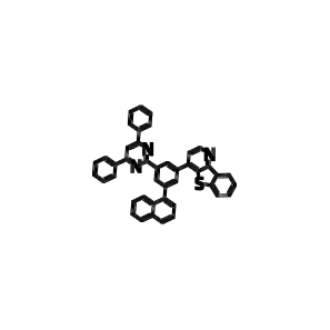 c1ccc(-c2cc(-c3ccccc3)nc(-c3cc(-c4cccc5ccccc45)cc(-c4ccnc5c4sc4ccccc45)c3)n2)cc1